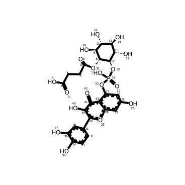 O=C(O)CCC(=O)O[C@@H]1[C@@H](O)[C@H](O)[C@@H](O)[C@H](O)[C@@H]1OP(=O)(O)Oc1cc(O)cc2oc(-c3ccc(O)c(O)c3)c(O)c(=O)c12